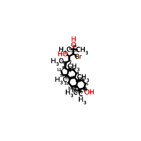 C[C@H](CC(O)C(Br)C(C)(C)O)[C@H]1CC[C@@]2(C)C3=C(CC[C@]12C)[C@@]1(C)CC[C@H](O)C(C)(C)[C@@H]1CC3